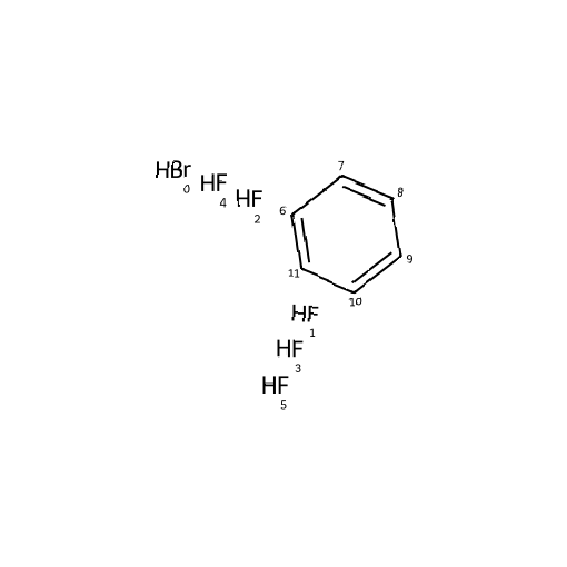 Br.F.F.F.F.F.c1ccccc1